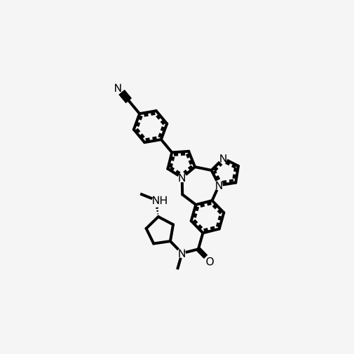 CN[C@H]1CCC(N(C)C(=O)c2ccc3c(c2)Cn2cc(-c4ccc(C#N)cc4)cc2-c2nccn2-3)C1